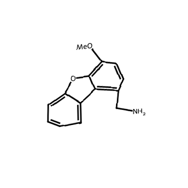 COc1ccc(CN)c2c1oc1ccccc12